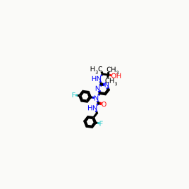 CC(Nc1nccc(N(C(=O)NCc2ccccc2F)c2ccc(F)cc2)n1)C(C)(C)O